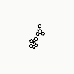 CC1c2ccc(-c3ccc4c(c3)c3ccccc3n4-c3cccc4c3-c3ccccc3C4(C)C)cc2-c2ccccc2CC1c1ccccc1